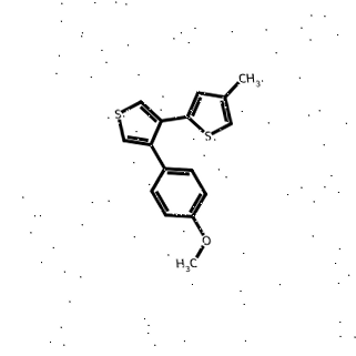 COc1ccc(-c2cscc2-c2cc(C)cs2)cc1